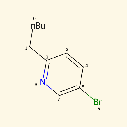 CCCCCc1ccc(Br)cn1